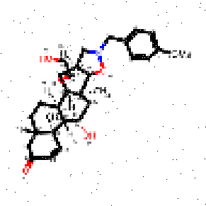 COc1ccc(CN2C[C@@H]3C[C@H]4[C@@H]5CC[C@H]6CC(=O)C=C[C@]6(C)[C@H]5[C@@H](O)C[C@]4(C)[C@]3(C(=O)CO)O2)cc1